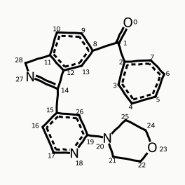 O=C(c1ccccc1)c1ccc2c(c1)C(c1ccnc(N3CCOCC3)c1)=NC2